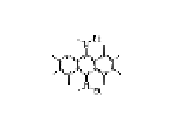 CCN(C)c1c2cc(C)c(C)c(C)c2c(N(C)CC)c2c(C)c(C)c(C)c(C)c12